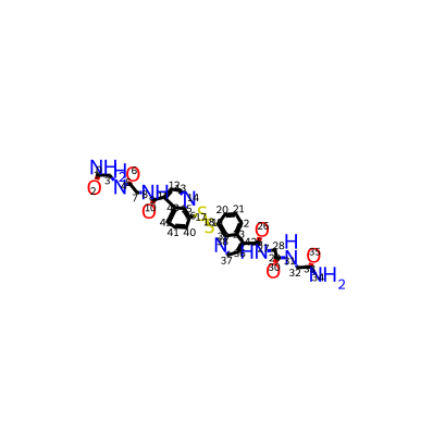 NC(=O)CNC(=O)CNC(=O)c1ccnc2c(SSc3cccc4c(C(=O)NCC(=O)NCC(N)=O)ccnc34)cccc12